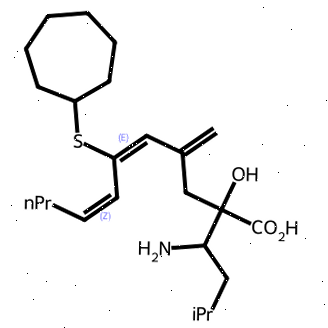 C=C(/C=C(\C=C/CCC)SC1CCCCCC1)CC(O)(C(=O)O)C(N)CC(C)C